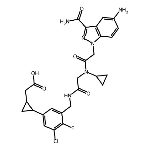 NC(=O)c1nn(CC(=O)N(CC(=O)NCc2cc(C3CC3CC(=O)O)cc(Cl)c2F)C2CC2)c2ccc(N)cc12